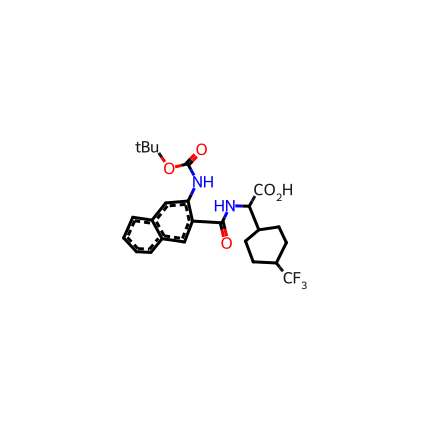 CC(C)(C)OC(=O)Nc1cc2ccccc2cc1C(=O)NC(C(=O)O)C1CCC(C(F)(F)F)CC1